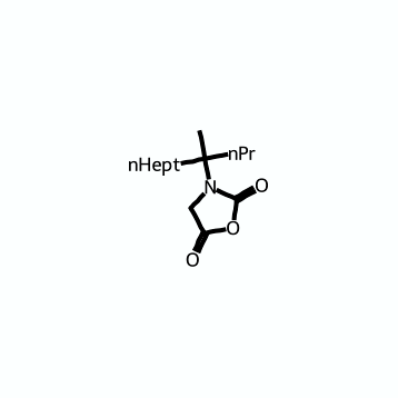 CCCCCCCC(C)(CCC)N1CC(=O)OC1=O